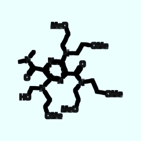 COCCN(CCOC)C(=O)c1nc(N(CO)CCOC)c(C(=O)N(C)C)nc1N(CCOC)CCOC